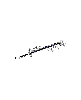 CC(C)=CCC/C(C)=C/CC/C(C)=C/CC/C=C(\C)CC/C=C(\C)CCC(=O)NCCCCCCO